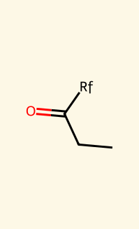 CC[C](=O)[Rf]